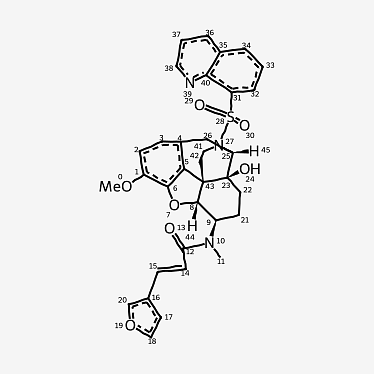 COc1ccc2c3c1O[C@H]1[C@H](N(C)C(=O)/C=C/c4ccoc4)CC[C@@]4(O)[C@@H](C2)N(S(=O)(=O)c2cccc5cccnc25)CC[C@]314